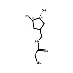 CC(C)(C)OC(=O)NCC1C[C@@H](O)[C@H](S)C1